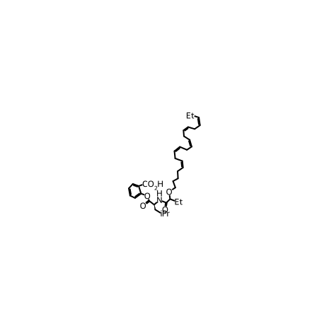 CC/C=C\C/C=C\C/C=C\C/C=C\C/C=C\CCCCOC(CC)C(=O)N[C@@H](CC(C)C)C(=O)Oc1ccccc1C(=O)O